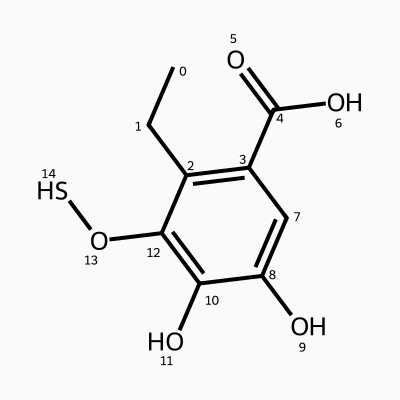 CCc1c(C(=O)O)cc(O)c(O)c1OS